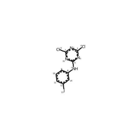 Clc1nc(Cl)nc(Nc2cccc(I)c2)n1